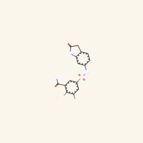 NC(=O)c1cc(S(=O)(=O)Nc2ccc3c(c2)NC(=O)C3)cc(Cl)c1O